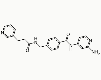 Nc1cc(NC(=O)c2ccc(CNC(=O)CCc3cccnc3)cc2)ccn1